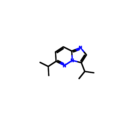 CC(C)c1ccc2ncc(C(C)C)n2n1